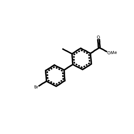 COC(=O)c1ccc(-c2ccc(Br)cc2)c(C)c1